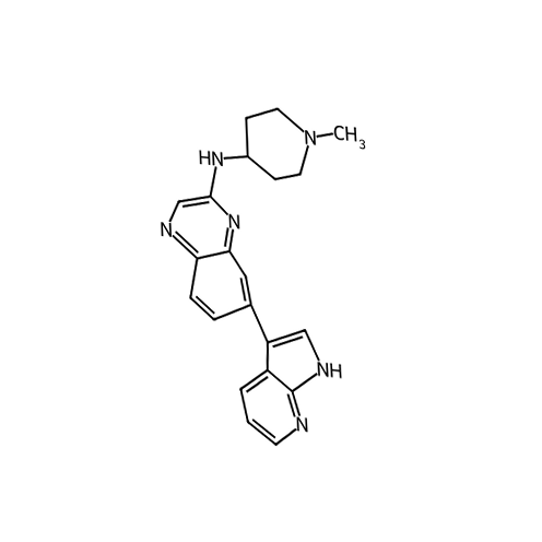 CN1CCC(Nc2cnc3ccc(-c4c[nH]c5ncccc45)cc3n2)CC1